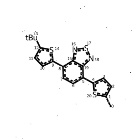 Cc1ccc(-c2ccc(-c3ccc(C(C)(C)C)s3)c3nsnc23)s1